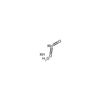 O.[KH].[O]=[Mn]=[O]